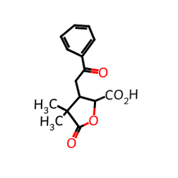 CC1(C)C(=O)OC(C(=O)O)C1CC(=O)c1ccccc1